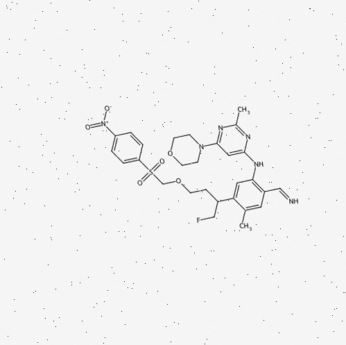 Cc1nc(Nc2cc(C(CF)CCOCS(=O)(=O)c3ccc([N+](=O)[O-])cc3)c(C)cc2C=N)cc(N2CCOCC2)n1